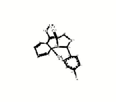 COC(=O)C1C=CC=CC1(C)N1C(=O)CSC1c1ccc(F)cc1